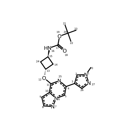 Cn1cc(-c2cn3nccc3c(O[C@H]3C[C@H](NC(=O)OC(C)(C)C)C3)n2)cn1